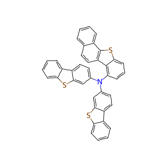 c1ccc2c(c1)ccc1c2sc2cccc(N(c3ccc4c(c3)sc3ccccc34)c3ccc4c(c3)sc3ccccc34)c21